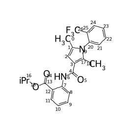 Cc1cc(C(=O)Nc2ccccc2C(=O)OC(C)C)c(C)n1-c1ccccc1C(F)(F)F